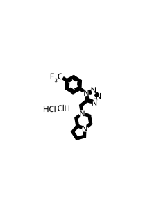 Cl.Cl.FC(F)(F)c1ccc(-n2nnnc2CN2CCN3CCCC3C2)cc1